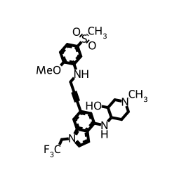 COc1ccc(S(C)(=O)=O)cc1NCC#Cc1cc(NC2CCN(C)CC2O)c2ccn(CC(F)(F)F)c2c1